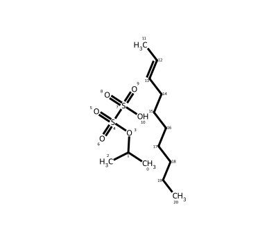 CC(C)OS(=O)(=O)S(=O)(=O)O.CC=CCCCCCCC